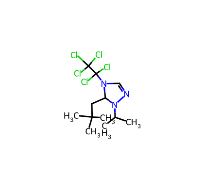 CC(C)N1N=CN(C(Cl)(Cl)C(Cl)(Cl)Cl)C1CC(C)(C)C